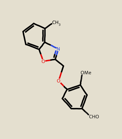 COc1cc(C=O)ccc1OCc1nc2c(C)cccc2o1